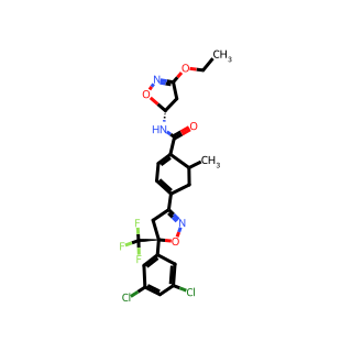 CCOC1=NO[C@@H](NC(=O)C2=CC=C(C3=NO[C@@](c4cc(Cl)cc(Cl)c4)(C(F)(F)F)C3)CC2C)C1